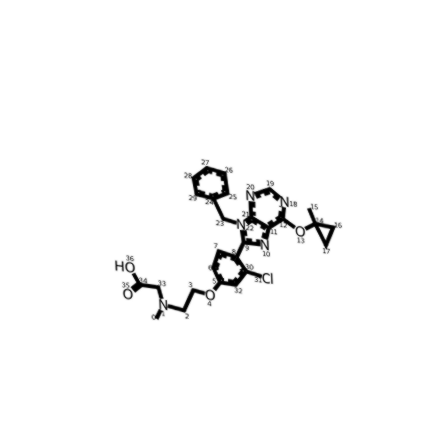 CN(CCOc1ccc(-c2nc3c(OC4(C)CC4)ncnc3n2Cc2ccccc2)c(Cl)c1)CC(=O)O